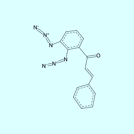 [N-]=[N+]=Nc1cccc(C(=O)C=Cc2ccccc2)c1N=[N+]=[N-]